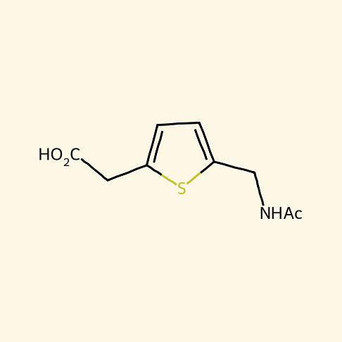 CC(=O)NCc1ccc(CC(=O)O)s1